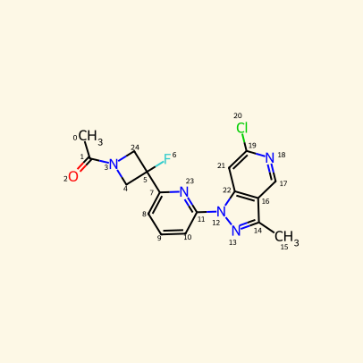 CC(=O)N1CC(F)(c2cccc(-n3nc(C)c4cnc(Cl)cc43)n2)C1